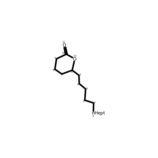 CCCCCCCCCCCCC1CCCC(=O)O1